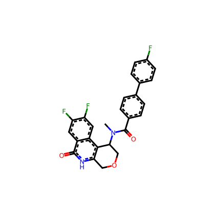 CN(C(=O)c1ccc(-c2ccc(F)cc2)cc1)C1COCc2[nH]c(=O)c3cc(F)c(F)cc3c21